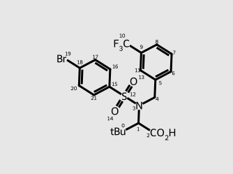 CC(C)(C)C(C(=O)O)N(Cc1cccc(C(F)(F)F)c1)S(=O)(=O)c1ccc(Br)cc1